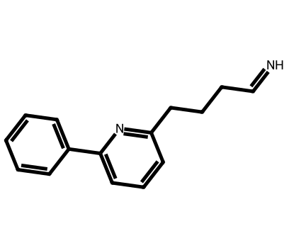 N=CCCCc1cccc(-c2ccccc2)n1